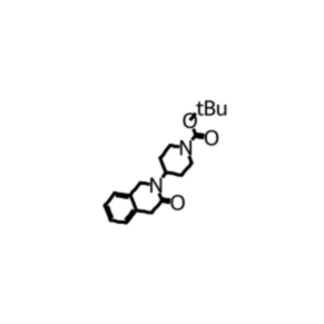 CC(C)(C)OC(=O)N1CCC(N2Cc3ccccc3CC2=O)CC1